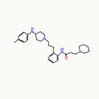 Cc1ccc(NC2CCN(CCCc3ccccc3NC(=O)CCC3CCCCC3)CC2)cc1